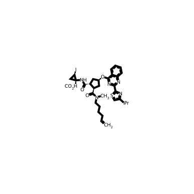 C=CCCCCN(C)C(=O)[C@@H]1C[C@H](Oc2nc(-c3nc(C(C)C)cs3)nc3ccccc23)C[C@H]1C(=O)N[C@]1(C(=O)O)C[C@H]1I